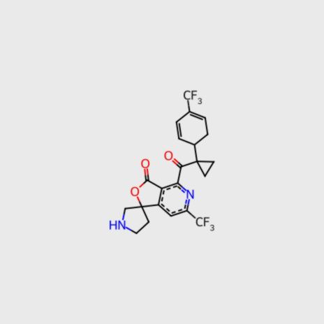 O=C1OC2(CCNC2)c2cc(C(F)(F)F)nc(C(=O)C3(C4C=CC(C(F)(F)F)=CC4)CC3)c21